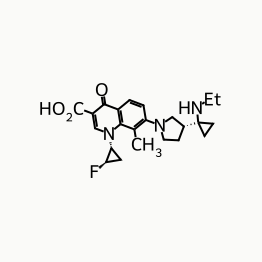 CCNC1([C@@H]2CCN(c3ccc4c(=O)c(C(=O)O)cn([C@@H]5C[C@H]5F)c4c3C)C2)CC1